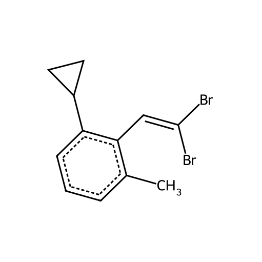 Cc1cccc(C2CC2)c1C=C(Br)Br